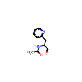 CC(=O)N[C@H](C=O)Cc1ccccn1